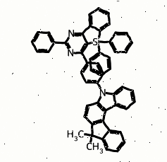 CC1(C)c2ccccc2-c2c1ccc1c2c2ccccc2n1-c1ccc(-c2nc(-c3ccccc3)nc3c2[Si](c2ccccc2)(c2ccccc2)c2ccccc2-3)cc1